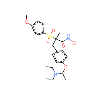 CCN(CC)C(C)Oc1ccc(CC(C)(C(=O)NO)S(=O)(=O)c2ccc(OC)cc2)cc1